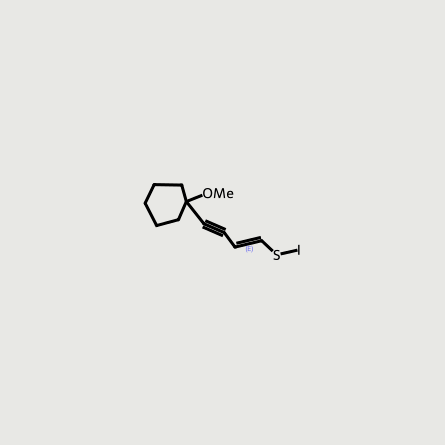 COC1(C#C/C=C/SI)CCCCC1